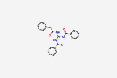 O=C(Cc1ccccc1)[NH][Dy]([NH]C(=O)c1ccccc1)[NH]C(=O)c1ccccc1